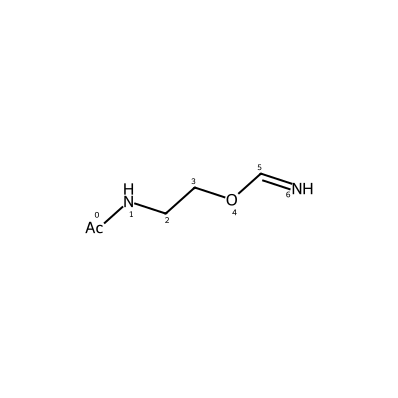 CC(=O)NCCOC=N